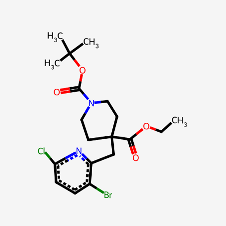 CCOC(=O)C1(Cc2nc(Cl)ccc2Br)CCN(C(=O)OC(C)(C)C)CC1